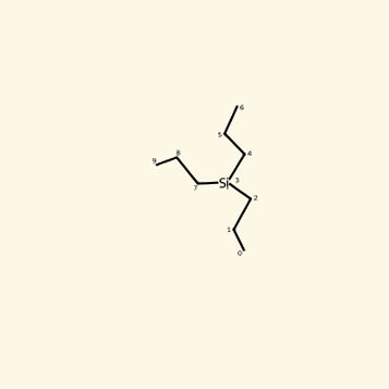 CCC[Si](CCC)CCC